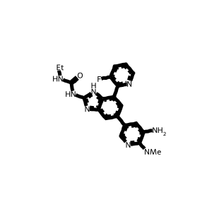 CCNC(=O)Nc1nc2cc(-c3cnc(NC)c(N)c3)cc(-c3ncccc3F)c2[nH]1